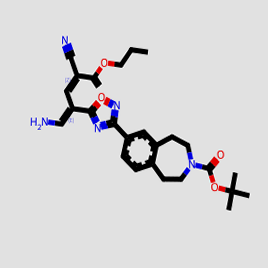 C=C(OCCC)/C(C#N)=C\C(=C/N)c1nc(-c2ccc3c(c2)CCN(C(=O)OC(C)(C)C)CC3)no1